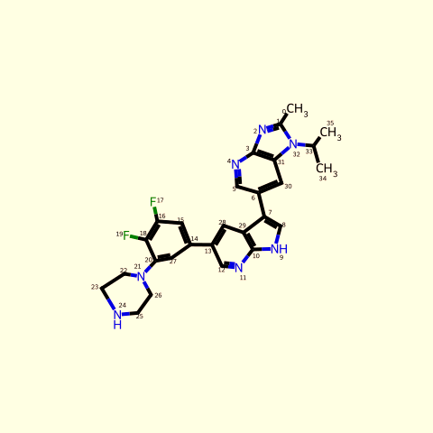 Cc1nc2ncc(-c3c[nH]c4ncc(-c5cc(F)c(F)c(N6CCNCC6)c5)cc34)cc2n1C(C)C